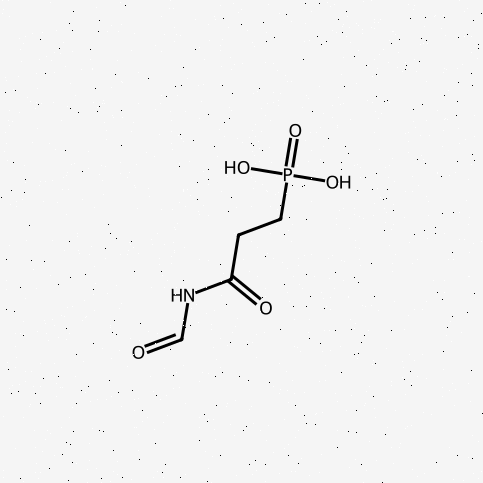 O=CNC(=O)CCP(=O)(O)O